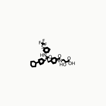 O=C(NC[C@@H](O)C(=O)O)c1ccc(CN(C(=O)Nc2cccc(SC(F)(F)F)c2)c2ccc(C3CCCCC3)cc2)cc1